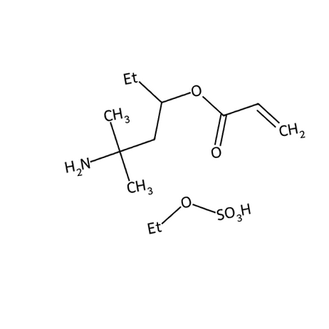 C=CC(=O)OC(CC)CC(C)(C)N.CCOS(=O)(=O)O